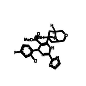 COC(=O)C1=C(CN2C3COC[C@H]2CC(NC(C)=O)C3)NC(c2nccs2)=NC1c1ccc(F)cc1Cl